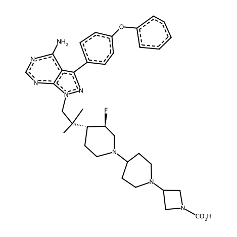 CC(C)(Cn1nc(-c2ccc(Oc3ccccc3)cc2)c2c(N)ncnc21)[C@H]1CCN(C2CCN(C3CN(C(=O)O)C3)CC2)C[C@@H]1F